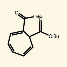 CC(C)COC(=O)C1=CC=CC=CC1C(=O)OCC(C)C